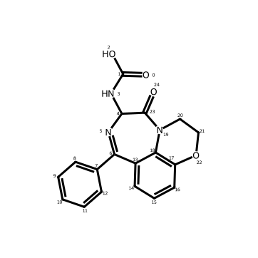 O=C(O)NC1N=C(c2ccccc2)c2cccc3c2N(CCO3)C1=O